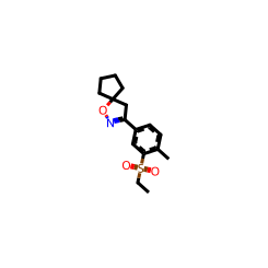 CCS(=O)(=O)c1cc(C2=NOC3(CCCC3)C2)ccc1C